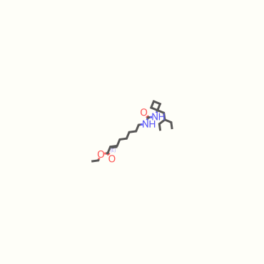 CCOC(=O)/C=C/CCCCCNC(=O)NC1(CC(CC)CC)CCC1